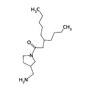 CCCCCC(CCCC)CC(=O)N1CCC(CN)C1